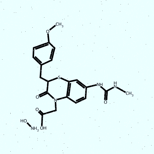 CNC(=O)Nc1ccc2c(c1)SC(Cc1ccc(OC)cc1)C(=O)N2CC(=O)O.NO